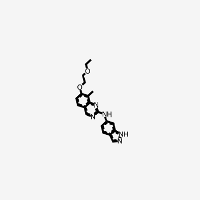 CCOCCOc1ccc2cnc(Nc3ccc4cn[nH]c4c3)nc2c1C